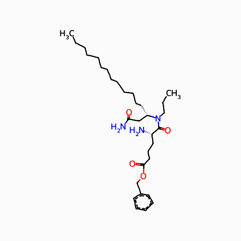 CCCCCCCCCCCCC[C@@H](CC(N)=O)N(CCC)C(=O)[C@@H](N)CCCC(=O)OCc1ccccc1